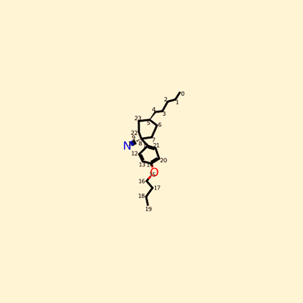 CCCCC[C@H]1CC[C@@](C#N)(c2ccc(OCCCC)cc2)CC1